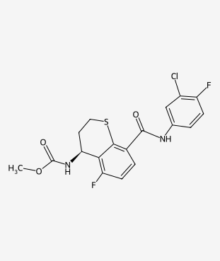 COC(=O)N[C@H]1CCSc2c(C(=O)Nc3ccc(F)c(Cl)c3)ccc(F)c21